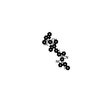 CC1(C)c2ccccc2-c2ccc3c4ccccc4n(-c4cc(C#N)c(-n5c6ccccc6c6cc(-c7ccc8c(c7)sc7c8ccc8c7c7ccccc7n8-c7cc(C#N)c(-n8c9ccccc9c9c%10sc%11ccccc%11c%10ccc98)cc7C#N)c7c(c65)C(C)(C)c5ccccc5-7)cc4C#N)c3c21